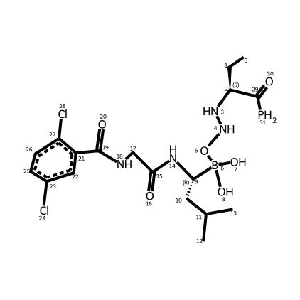 CC[C@H](NNO[B-](O)(O)[C@H](CC(C)C)NC(=O)CNC(=O)c1cc(Cl)ccc1Cl)C(=O)P